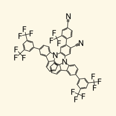 N#Cc1ccc(-c2cc(-n3c4ccccc4c4cc(-c5cc(C(F)(F)F)cc(C(F)(F)F)c5)ccc43)c(-n3c4ccccc4c4cc(-c5cc(C(F)(F)F)cc(C(F)(F)F)c5)ccc43)cc2C#N)c(C(F)(F)F)c1